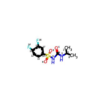 CC(C)NC(=O)NS(=O)(=O)c1ccc(F)c(F)c1